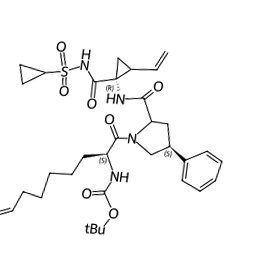 C=CCCCCC[C@H](NC(=O)OC(C)(C)C)C(=O)N1C[C@H](c2ccccc2)CC1C(=O)N[C@]1(C(=O)NS(=O)(=O)C2CC2)CC1C=C